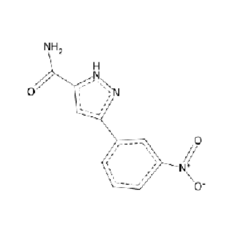 NC(=O)c1cc(-c2cccc([N+](=O)[O-])c2)n[nH]1